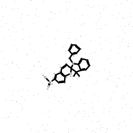 CC1(C)c2ccccc2N(Cc2ccccc2)C12C=Cc1cc([N+](=O)[O-])ccc1O2